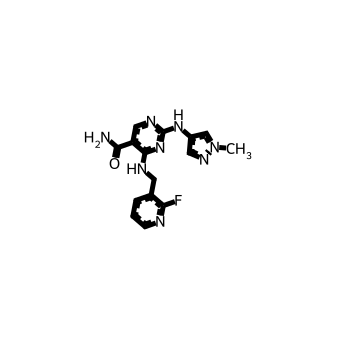 Cn1cc(Nc2ncc(C(N)=O)c(NCc3cccnc3F)n2)cn1